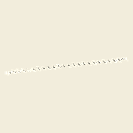 N/N=N/N=N/N=N/N=N/N=N/N=N/N=N/N=N/N=N/N=N/N=N/N=N/N=N/N=N/N=N/N=N/N=N/N=N/N=N/N=N/N=N/N=N/N